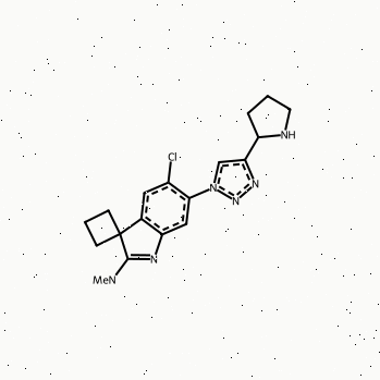 CNC1=Nc2cc(-n3cc(C4CCCN4)nn3)c(Cl)cc2C12CCC2